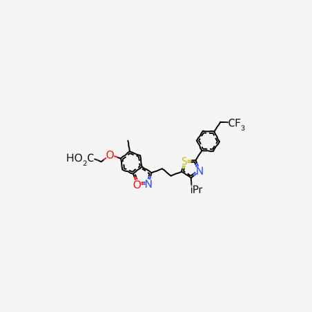 Cc1cc2c(CCc3sc(-c4ccc(CC(F)(F)F)cc4)nc3C(C)C)noc2cc1OCC(=O)O